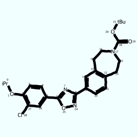 CC(C)Oc1ccc(-c2nc(-c3ccc4c(c3)CCN(C(=O)OC(C)(C)C)CC4)no2)cc1Cl